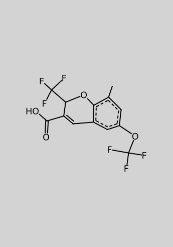 Cc1cc(OC(F)(F)F)cc2c1OC(C(F)(F)F)C(C(=O)O)=C2